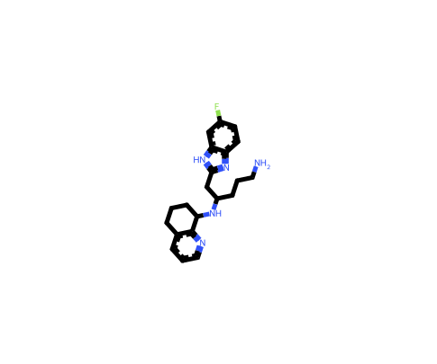 NCCCC(Cc1nc2ccc(F)cc2[nH]1)NC1CCCc2cccnc21